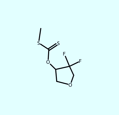 CSC(=S)OC1COCC1(F)F